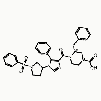 O=C(O)N1CCN(C(=O)c2ncn(C3CCN(S(=O)(=O)c4ccccc4)C3)c2-c2ccccc2)[C@H](Cc2ccccc2)C1